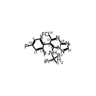 BC(C)(Nc1c(-c2c(F)cc(F)cc2F)c(Cl)nc2ncnn12)C(C)C